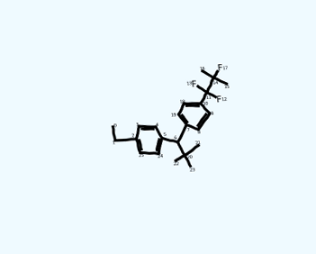 CCc1ccc(C(c2ccc(C(F)(F)C(C)(C)F)cc2)C(C)(C)C)cc1